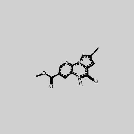 COC(=O)c1cnc2c(c1)[nH]c(=O)c1cc(C)cn12